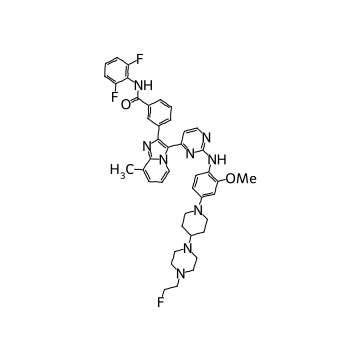 COc1cc(N2CCC(N3CCN(CCF)CC3)CC2)ccc1Nc1nccc(-c2c(-c3cccc(C(=O)Nc4c(F)cccc4F)c3)nc3c(C)cccn23)n1